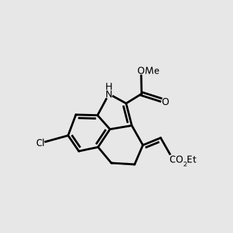 CCOC(=O)C=C1CCc2cc(Cl)cc3[nH]c(C(=O)OC)c1c23